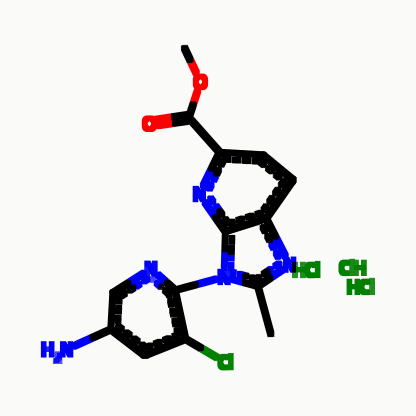 COC(=O)c1ccc2nc(C)n(-c3ncc(N)cc3Cl)c2n1.Cl.Cl.Cl